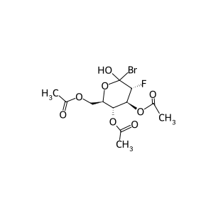 CC(=O)OC[C@H]1OC(O)(Br)[C@H](F)[C@@H](OC(C)=O)[C@@H]1OC(C)=O